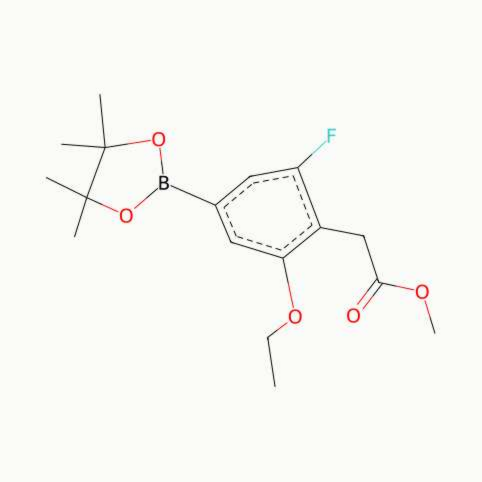 CCOc1cc(B2OC(C)(C)C(C)(C)O2)cc(F)c1CC(=O)OC